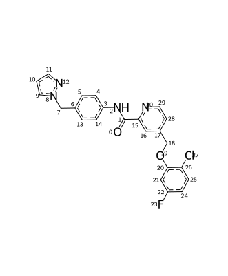 O=C(Nc1ccc(Cn2cccn2)cc1)c1cc(COc2cc(F)ccc2Cl)ccn1